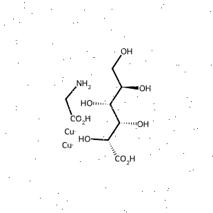 NCC(=O)O.O=C(O)[C@H](O)[C@@H](O)[C@H](O)[C@H](O)CO.[Cu].[Cu]